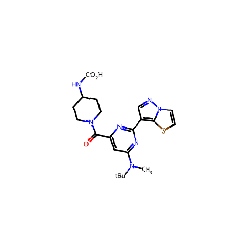 CN(c1cc(C(=O)N2CCC(NC(=O)O)CC2)nc(-c2cnn3ccsc23)n1)C(C)(C)C